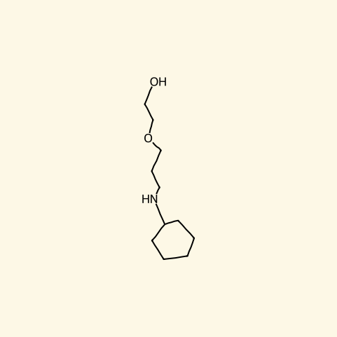 OCCOCCCNC1CCCCC1